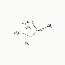 C/C=C(/CC(C)(C)C)NC